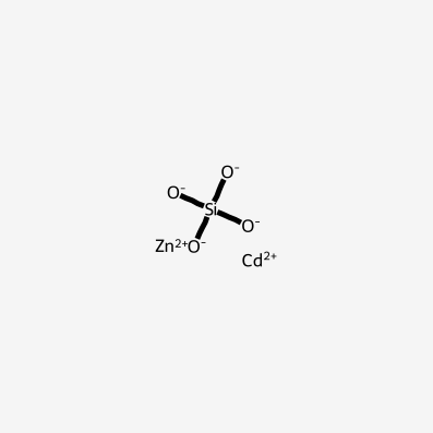 [Cd+2].[O-][Si]([O-])([O-])[O-].[Zn+2]